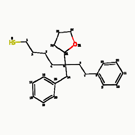 SCCCCC(CCc1ccccc1)(Cc1ccccc1)C1CCCO1